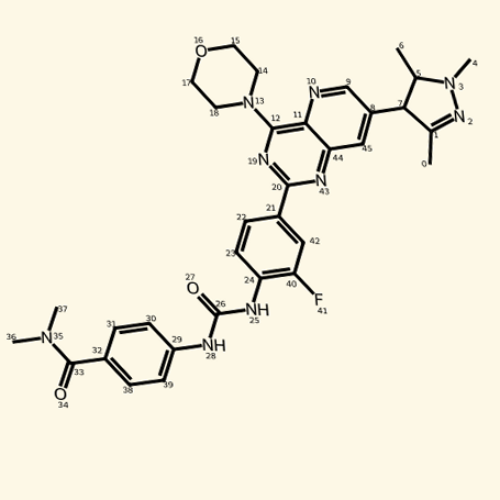 CC1=NN(C)C(C)C1c1cnc2c(N3CCOCC3)nc(-c3ccc(NC(=O)Nc4ccc(C(=O)N(C)C)cc4)c(F)c3)nc2c1